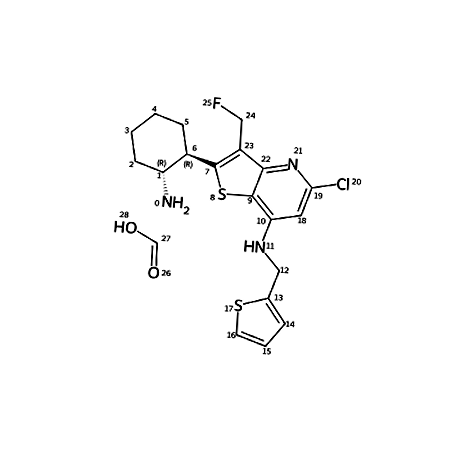 N[C@@H]1CCCC[C@H]1c1sc2c(NCc3cccs3)cc(Cl)nc2c1CF.O=CO